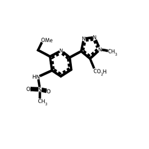 COCc1nc(-c2nnn(C)c2C(=O)O)ccc1NS(C)(=O)=O